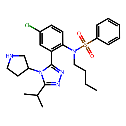 CCCCN(c1ccc(Cl)cc1-c1nnc(C(C)C)n1C1CCNC1)S(=O)(=O)c1ccccc1